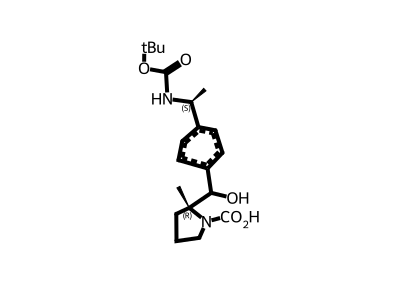 C[C@H](NC(=O)OC(C)(C)C)c1ccc(C(O)[C@@]2(C)CCCN2C(=O)O)cc1